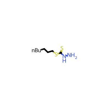 CCCCCCCSC(=S)NN